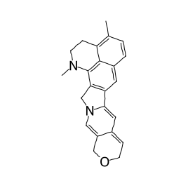 Cc1ccc2cc3c(c4c2c1CCN4C)CN1C=C2COCC=C2C=C31